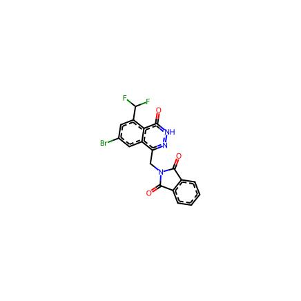 O=C1c2ccccc2C(=O)N1Cc1n[nH]c(=O)c2c(C(F)F)cc(Br)cc12